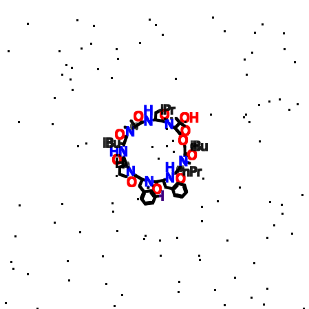 CCC[C@H]1C(=O)NC(Cc2ccccc2)C(=O)N(C)C(Cc2cccc(I)c2)C(=O)N2CCC[C@H]2C(=O)NC(C(C)CC)C(=O)N(C)[C@@H](C)C(=O)NC(CC(C)C)C(=O)N(C)C(C(C)(C)O)C(=O)OC([C@H](C)CC)C(=O)N1C